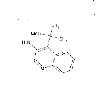 COC(C)(C)c1c(N)cnc2ccccc12